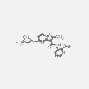 CC(C)Oc1ncncc1NC(=O)c1c(N)nn2ccc(OCCN(C)C)nc12